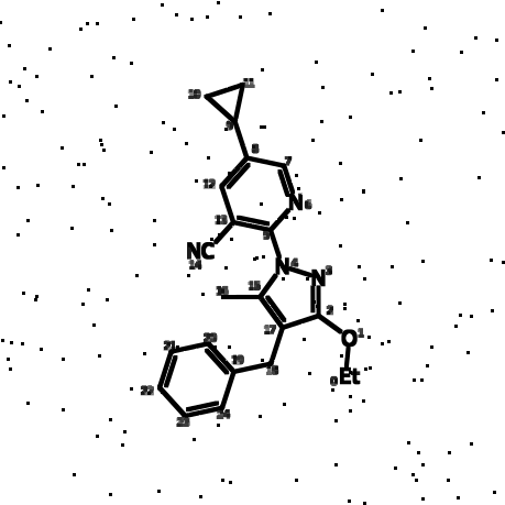 CCOc1nn(-c2ncc(C3CC3)cc2C#N)c(C)c1Cc1ccccc1